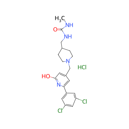 CNC(=O)NCC1CCN(Cc2cc(O)nc(-c3cc(Cl)cc(Cl)c3)c2)CC1.Cl